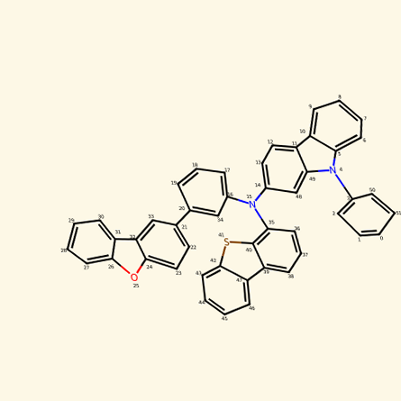 c1ccc(-n2c3ccccc3c3ccc(N(c4cccc(-c5ccc6oc7ccccc7c6c5)c4)c4cccc5c4sc4ccccc45)cc32)cc1